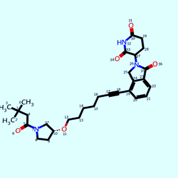 CC(C)(C)CC(=O)N1CC[C@@H](OCCCCCC#Cc2cccc3c2CN(C2CCC(=O)NC2=O)C3=O)C1